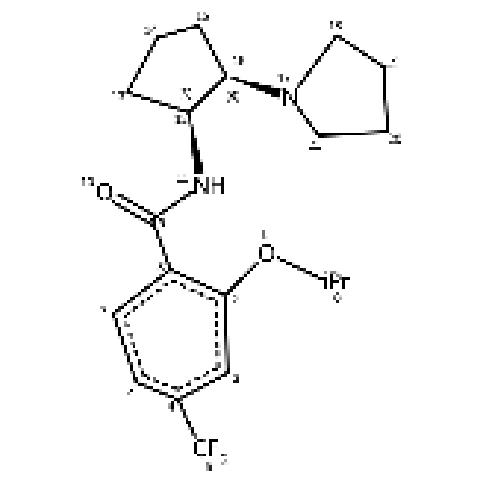 CC(C)Oc1cc(C(F)(F)F)ccc1C(=O)N[C@H]1CCC[C@H]1N1CCCC1